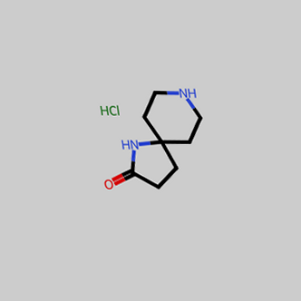 Cl.O=C1CCC2(CCNCC2)N1